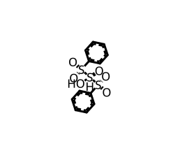 O=S(=O)(c1ccccc1)[SH](=O)(O)S(=O)(=O)c1ccccc1